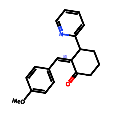 COc1ccc(/C=C2\C(=O)CCCC2c2ccccn2)cc1